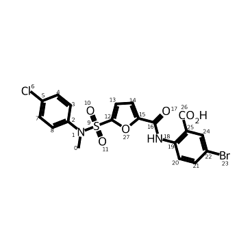 CN(c1ccc(Cl)cc1)S(=O)(=O)c1ccc(C(=O)Nc2ccc(Br)cc2C(=O)O)o1